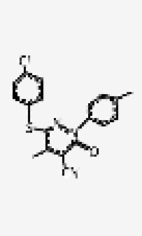 Cc1ccc(-n2nc(Sc3ccc(Cl)cc3)c(C)c(C#N)c2=O)cc1